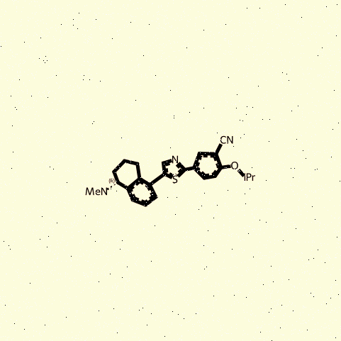 CN[C@@H]1CCCc2c(-c3cnc(-c4ccc(OC(C)C)c(C#N)c4)s3)cccc21